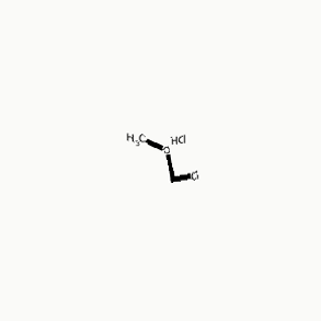 COCCl.Cl